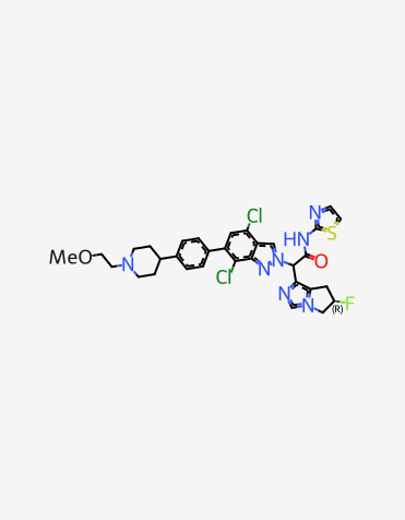 COCCN1CCC(c2ccc(-c3cc(Cl)c4cn(C(C(=O)Nc5nccs5)c5ncn6c5C[C@@H](F)C6)nc4c3Cl)cc2)CC1